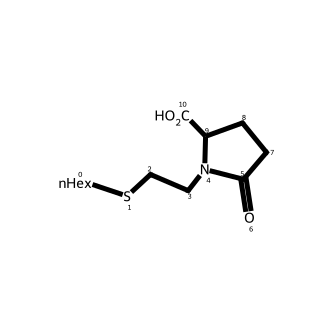 CCCCCCSCCN1C(=O)CCC1C(=O)O